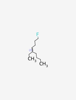 CCCC/C(=C\CCCF)CC